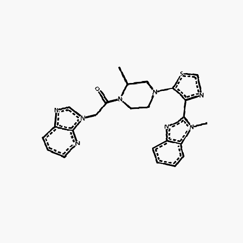 CC1CN(c2scnc2-c2nc3ccccc3n2C)CCN1C(=O)Cn1cnc2cccnc21